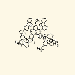 Cc1cc2c3c(c1)N(c1cccc4c1oc1ccccc14)c1cc(N4c5cc(C)cc(C)c5C5(C)CCCCC45C)ccc1B3c1ccc(N3c4cc(C)cc(C)c4C4(C)CCCCC34C)cc1N2c1cccc2c1oc1ccccc12